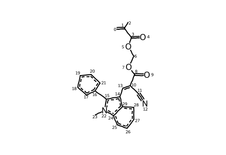 C=C(C)C(=O)OCOC(=O)/C(C#N)=C/c1c(-c2ccccc2)n(C)c2ccccc12